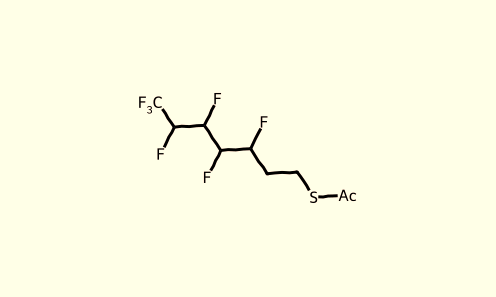 CC(=O)SCCC(F)C(F)C(F)C(F)C(F)(F)F